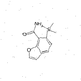 C[Si](C)(C)c1ccc2ccoc2c1C(N)=O